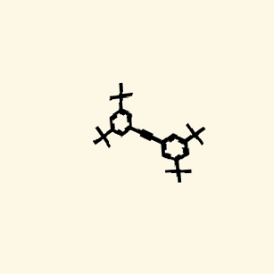 CC(C)(C)c1cc(C#Cc2cc(C(C)(C)C)cc(C(C)(C)C)c2)cc(C(C)(C)C)c1